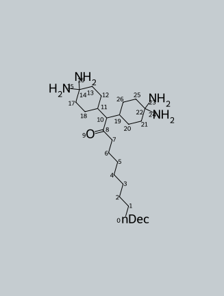 CCCCCCCCCCCCCCCCCC(=O)C(C1CCC(N)(N)CC1)C1CCC(N)(N)CC1